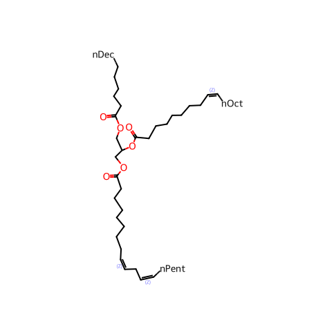 CCCCC/C=C\C/C=C\CCCCCCCC(=O)OCC(COC(=O)CCCCCCCCCCCCCCC)OC(=O)CCCCCCC/C=C\CCCCCCCC